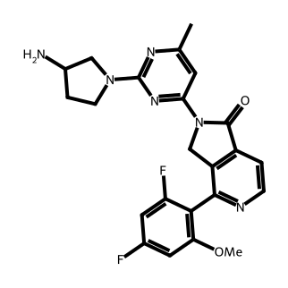 COc1cc(F)cc(F)c1-c1nccc2c1CN(c1cc(C)nc(N3CCC(N)C3)n1)C2=O